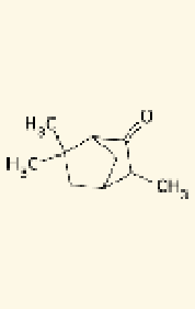 CC1C(=O)C2CC1CC2(C)C